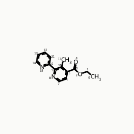 CCOC(=O)c1ccnc(-c2ccccn2)c1C